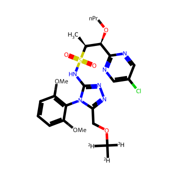 [2H]C([2H])([2H])OCc1nnc(NS(=O)(=O)[C@@H](C)[C@@H](OCCC)c2ncc(Cl)cn2)n1-c1c(OC)cccc1OC